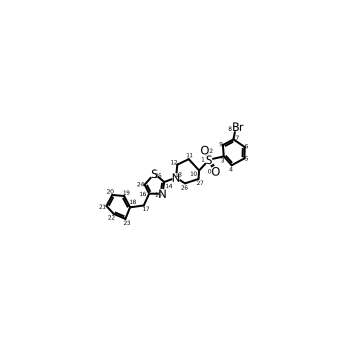 O=S(=O)(c1cccc(Br)c1)C1CCN(c2nc(Cc3ccccc3)cs2)CC1